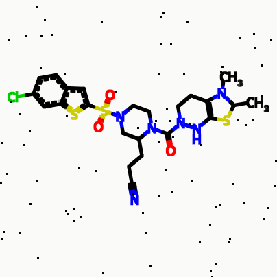 CC1SC2=C(CCN(C(=O)N3CCN(S(=O)(=O)c4cc5ccc(Cl)cc5s4)CC3CCC#N)N2)N1C